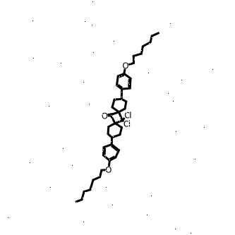 CCCCCCCOc1ccc(C2CCC3(CC2)C(=O)C2(CCC(c4ccc(OCCCCCCC)cc4)CC2)C3(Cl)Cl)cc1